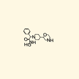 O=C(NO)C(c1ccccc1)N1CCC(C2CNCCO2)CC1